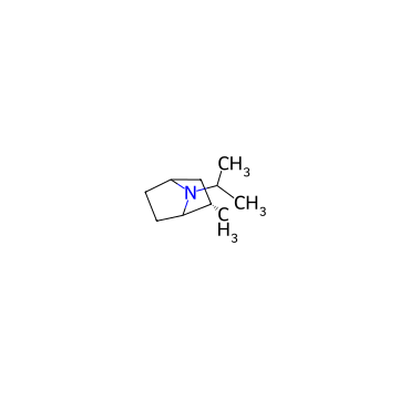 CC(C)N1C2CCC1[C@@H](C)C2